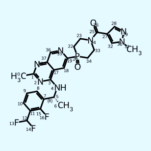 Cc1nc(N[C@H](C)c2cccc(C(F)F)c2F)c2cc(P3(=O)CCN(C(=O)c4cnn(C)c4)CC3)ncc2n1